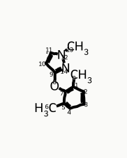 Cc1cccc(C)c1Oc1c[c]n(C)n1